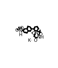 COC1C(c2ccc3cc(NS(C)(=O)=O)ccc3c2)=CC=CC1(n1ccc(=O)[nH]c1=O)C(C)(C)C.[K]